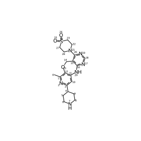 Cc1nc(C2CCNCC2)cc2c1OCc1c(ncnc1N1CCS(=O)(=O)CC1)N2